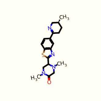 C[C@H]1CCC(c2ccc3sc(C4CN(C)C(=O)CN4C)nc3c2)=NC1